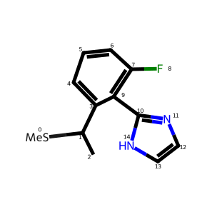 CSC(C)c1cccc(F)c1-c1ncc[nH]1